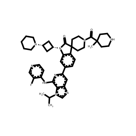 CC(C)n1cnc2cc(-c3ccc4c(c3)N([C@H]3C[C@@H](N5CCCCC5)C3)C(=O)C43CCN(C(=O)C4(C)CCNCC4)CC3)nc(Nc3ccncc3F)c21